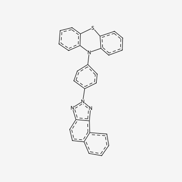 c1ccc2c(c1)Sc1ccccc1N2c1ccc(-n2nc3ccc4ccccc4c3n2)cc1